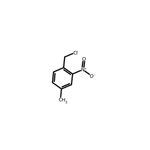 Cc1ccc(CCl)c([N+](=O)[O-])c1